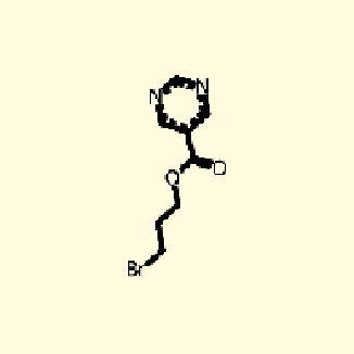 O=C(OCCCBr)c1cncnc1